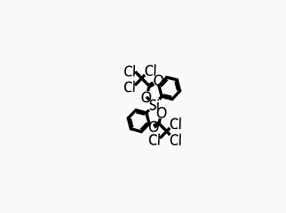 O=C(O[Si](OC(=O)C(Cl)(Cl)Cl)(c1ccccc1)c1ccccc1)C(Cl)(Cl)Cl